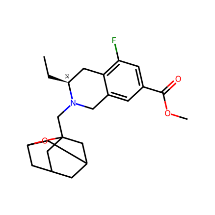 CC[C@H]1Cc2c(F)cc(C(=O)OC)cc2CN1CC12CC3CC(CC(C3)O1)C2